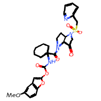 COc1ccc2oc(OC(=O)NC3(C(=O)N4CCC5C4C(=O)CN5S(=O)(=O)Cc4ccccn4)CCCCC3)cc2c1